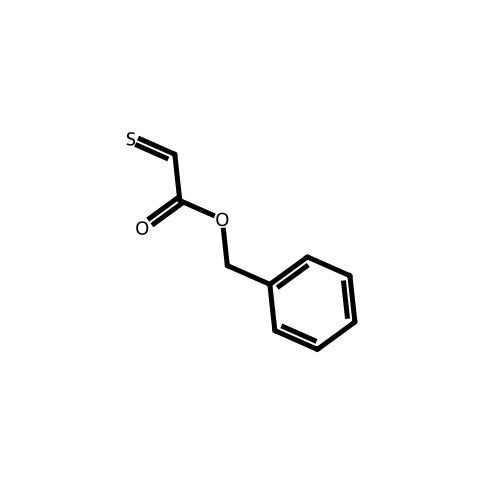 O=C(C=S)OCc1ccccc1